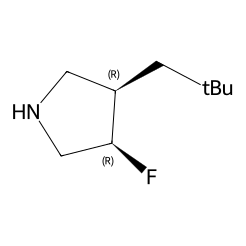 CC(C)(C)C[C@@H]1CNC[C@@H]1F